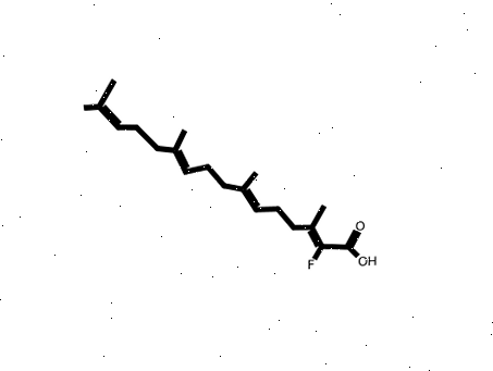 CC(C)=CCC/C(C)=C/CC/C(C)=C/CC/C(C)=C(\F)C(=O)O